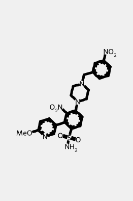 COc1ccc(-c2c(S(N)(=O)=O)ccc(N3CCN(Cc4cccc([N+](=O)[O-])c4)CC3)c2[N+](=O)[O-])cn1